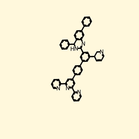 C1=CC(c2cc(C3=Nc4cc(-c5ccccc5)ccc4C(c4ccccc4)N3)cc(-c3ccc(-c4cc(-c5ccccn5)nc(-c5ccccn5)c4)cc3)c2)CN=C1